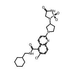 O=C1CN(C2CCN(c3ccc4c(C(=O)NCC5CCCCC5)c(Cl)ccc4n3)C2)S(=O)(=O)N1